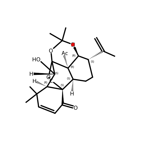 C=C(C)[C@@H]1CC[C@H]2[C@@]34COC5(OC(C)(C)O[C@H]1[C@@]25C(C)=O)[C@@H](O)[C@@H]3C(C)(C)C=CC4=O